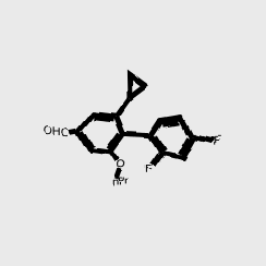 CCCOc1cc(C=O)cc(C2CC2)c1-c1ccc(F)cc1F